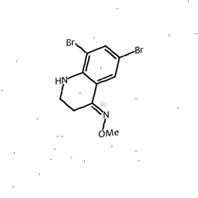 CO/N=C1\CCNc2c(Br)cc(Br)cc21